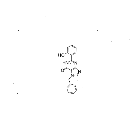 O=c1[nH]c(-c2ccccc2O)nc2ncn(Cc3ccccc3)c12